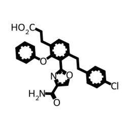 NC(=O)c1coc(-c2c(CCc3ccc(Cl)cc3)ccc(CCC(=O)O)c2Oc2ccccc2)n1